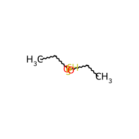 CCCCCCCC/C=C\CCCCCCCCOP(=S)(S)OCCCCCCCC/C=C\CCCCCCCC